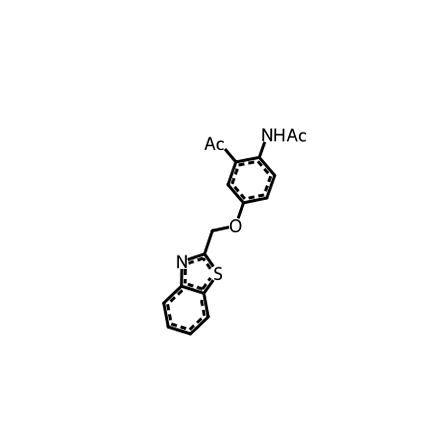 CC(=O)Nc1ccc(OCc2nc3ccccc3s2)cc1C(C)=O